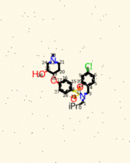 CC(C)CN(Cc1ccc(Cl)cc1)S(=O)(=O)c1ccc(O[C@H]2CCN(C)C[C@@H]2O)cc1